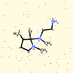 CC[C@]1(N(C)CCN)C(C)CCN1C